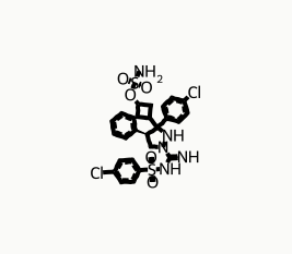 N=C(NS(=O)(=O)c1ccc(Cl)cc1)N1C[C@@H](c2ccccc2)C(c2ccc(Cl)cc2)(C2CC(OS(N)(=O)=O)C2)N1